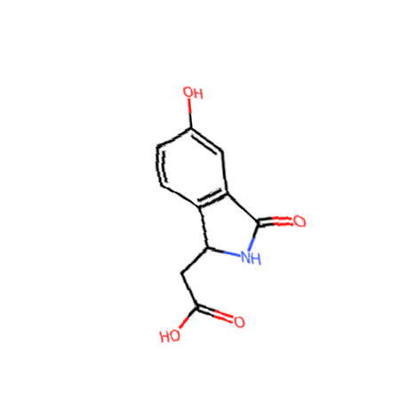 O=C(O)CC1NC(=O)c2cc(O)ccc21